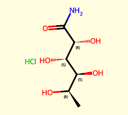 C[C@@H](O)[C@H](O)[C@H](O)[C@@H](O)C(N)=O.Cl